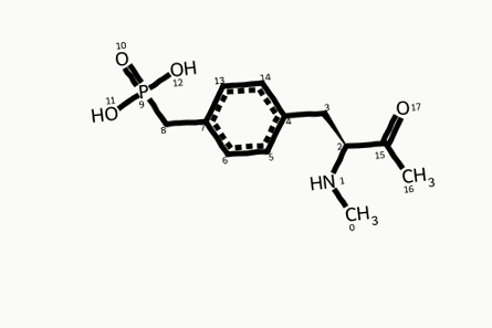 CN[C@@H](Cc1ccc(CP(=O)(O)O)cc1)C(C)=O